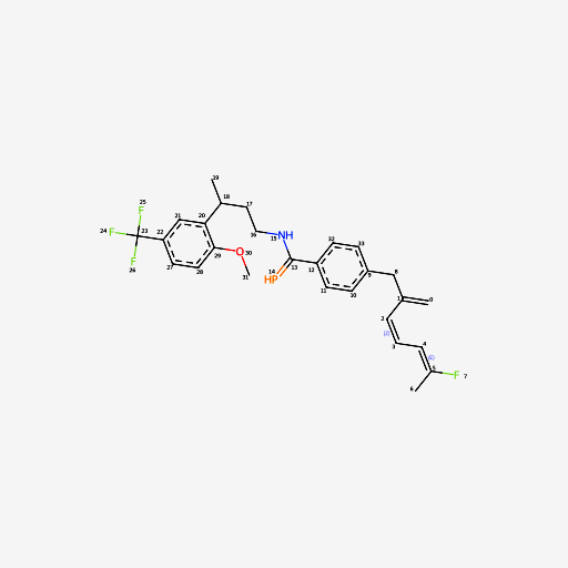 C=C(/C=C\C=C(/C)F)Cc1ccc(C(=P)NCCC(C)c2cc(C(F)(F)F)ccc2OC)cc1